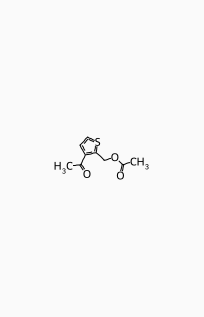 CC(=O)OCc1sccc1C(C)=O